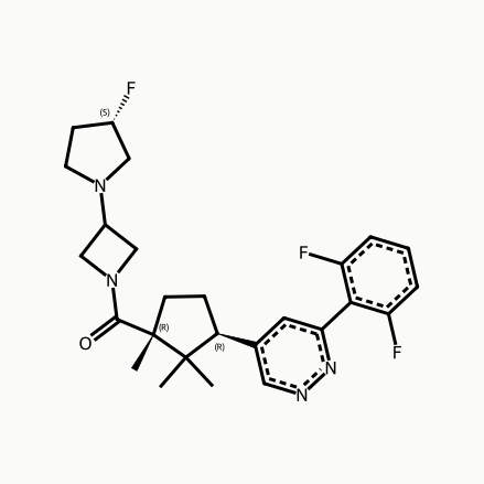 CC1(C)[C@H](c2cnnc(-c3c(F)cccc3F)c2)CC[C@@]1(C)C(=O)N1CC(N2CC[C@H](F)C2)C1